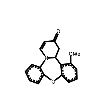 COc1cccc2c1C1CC(=O)C=CN1c1ccccc1O2